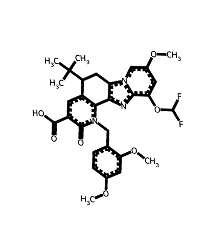 COc1ccc(Cn2c3c(cc(C(=O)O)c2=O)C(C(C)(C)C)Cc2c-3nc3c(OC(F)F)cc(OC)cn23)c(OC)c1